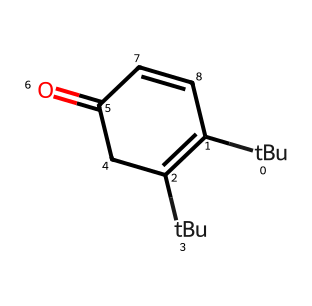 CC(C)(C)C1=C(C(C)(C)C)CC(=O)C=C1